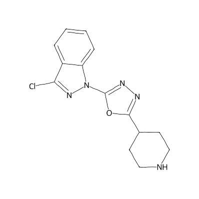 Clc1nn(-c2nnc(C3CCNCC3)o2)c2ccccc12